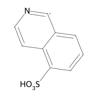 O=S(=O)(O)c1cccc2[c]nccc12